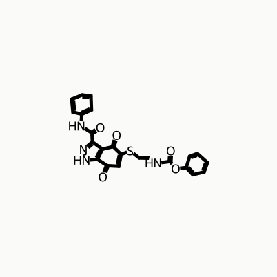 O=C(NCCSC1=CC(=O)c2[nH]nc(C(=O)Nc3ccccc3)c2C1=O)Oc1ccccc1